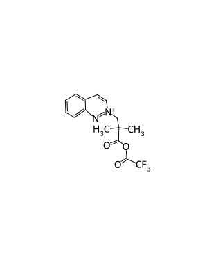 CC(C)(C[n+]1ccc2ccccc2n1)C(=O)OC(=O)C(F)(F)F